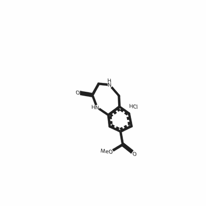 COC(=O)c1ccc2c(c1)NC(=O)CNC2.Cl